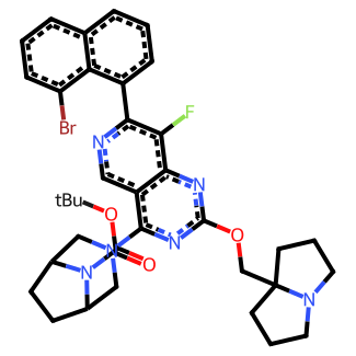 CC(C)(C)OC(=O)N1C2CCC1CN(c1nc(OCC34CCCN3CCC4)nc3c(F)c(-c4cccc5cccc(Br)c45)ncc13)C2